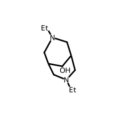 CCN1CC2CN(CC)CC(C1)C2O